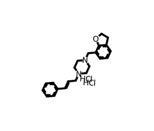 C(=C\c1ccccc1)/CN1CCN(Cc2cccc3c2OCC3)CC1.Cl.Cl